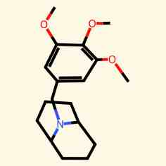 COc1cc(CN2C3CCCC2CCC3)cc(OC)c1OC